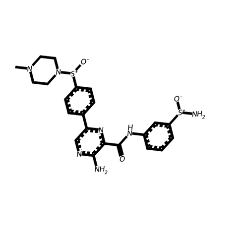 CN1CCN([S+]([O-])c2ccc(-c3cnc(N)c(C(=O)Nc4cccc([S+](N)[O-])c4)n3)cc2)CC1